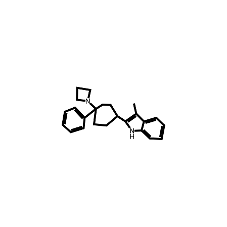 Cc1c(C2CCC(c3ccccc3)(N3CCC3)CC2)[nH]c2ccccc12